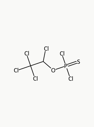 S=P(Cl)(Cl)OC(Cl)C(Cl)(Cl)Cl